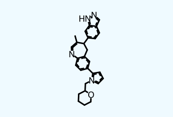 CC1=C=Nc2ccc(-c3cccn3CC3CCCCO3)cc2CC1c1ccc2cn[nH]c2c1